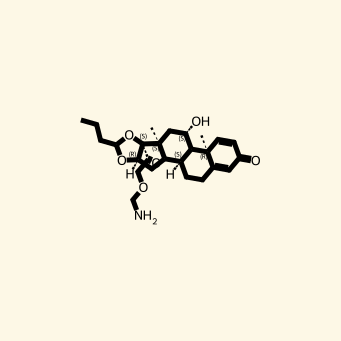 CCCC1O[C@@H]2CC3[C@@H]4CCC5=CC(=O)C=C[C@]5(C)C4[C@@H](O)C[C@]3(C)[C@]2(C(=O)COCN)O1